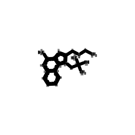 CCOCc1nc2c(C)nc3ccccc3c2n1CC(C)(C)O